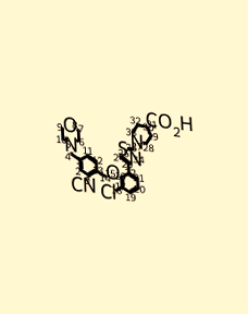 N#Cc1cc(CN2CCOCC2)ccc1COc1c(Cl)cccc1-c1csc(N2CCC(C(=O)O)CC2)n1